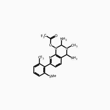 CSc1cccc(C(F)(F)F)c1-c1ccc2c(n1)N(OC(=O)C(F)(F)F)C(N)N(C)C2N